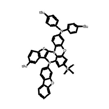 CC(C)(C)c1ccc(N(c2ccc(C(C)(C)C)cc2)c2ccc3c(c2)Oc2cc([Si](C)(C)C)cc4c2B3c2sc3ccc(C(C)(C)C)cc3c2N4c2ccc3c(c2)oc2ccccc23)cc1